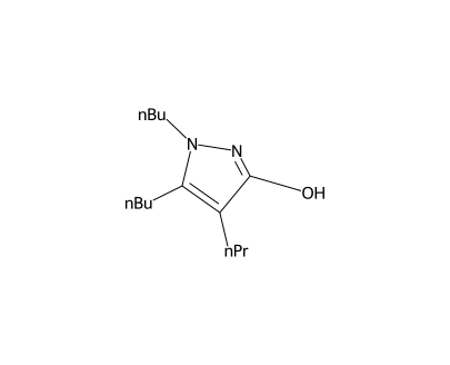 CCCCc1c(CCC)c(O)nn1CCCC